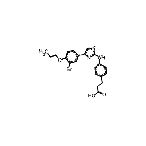 CCCOc1ccc(-c2csc(Nc3ccc(CCC(=O)O)cc3)n2)cc1Br